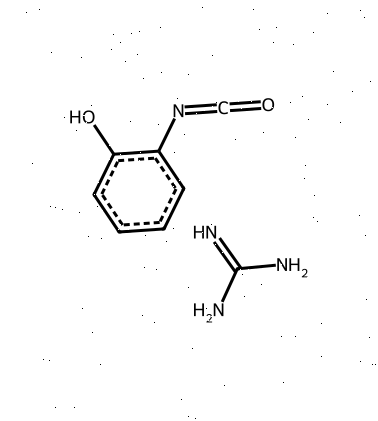 N=C(N)N.O=C=Nc1ccccc1O